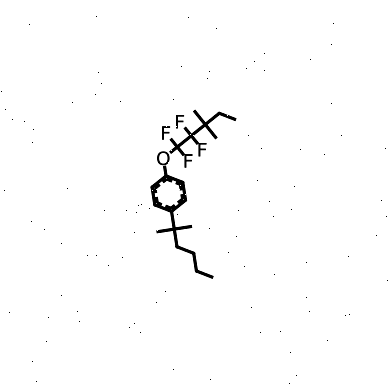 CCCCC(C)(C)c1ccc(OC(F)(F)C(F)(F)C(C)(C)CC)cc1